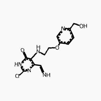 N=Cc1nc(Cl)[nH]c(=O)c1NCCOc1ccc(CO)nc1